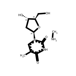 CN.Cc1cn([C@H]2C[C@H](O)[C@@H](CO)O2)c(=O)[nH]c1=O